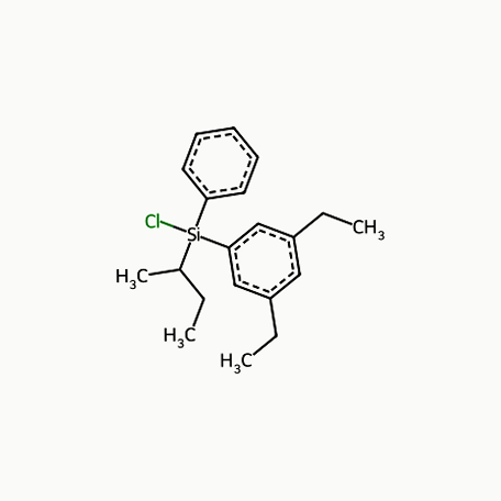 CCc1cc(CC)cc([Si](Cl)(c2ccccc2)C(C)CC)c1